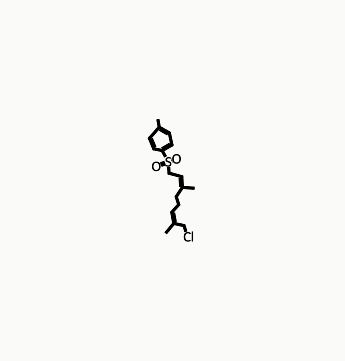 CC(=CCCC(C)=CCS(=O)(=O)c1ccc(C)cc1)CCl